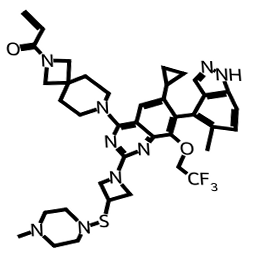 C=CC(=O)N1CC2(CCN(c3nc(N4CC(SN5CCN(C)CC5)C4)nc4c(OCC(F)(F)F)c(-c5c(C)ccc6[nH]ncc56)c(C5CC5)cc34)CC2)C1